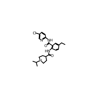 CCc1ccc(NC(=O)C2CCN(C(C)C)CC2)c(C(=O)Nc2ccc(Cl)cn2)c1